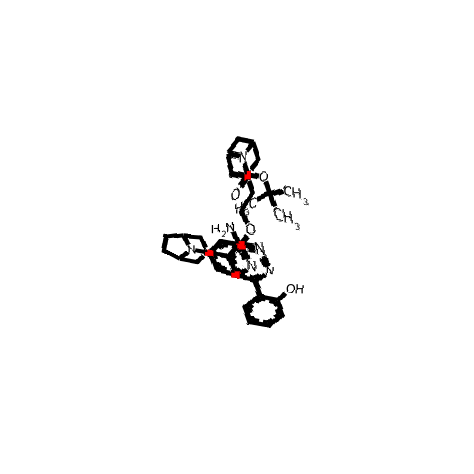 CC(C)(C)OC(=O)N1C2CC1CN(CCOc1cc(N3C4CCC3CN(c3cc(-c5ccccc5O)nnc3N)C4)ccn1)C2